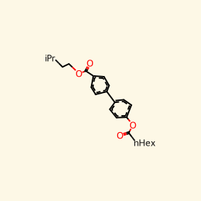 CCCCCCC(=O)Oc1ccc(-c2ccc(C(=O)OCCC(C)C)cc2)cc1